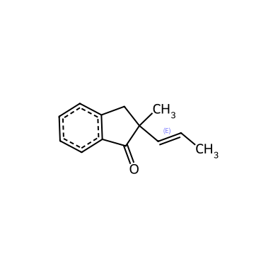 C/C=C/C1(C)Cc2ccccc2C1=O